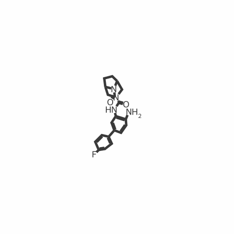 Nc1ccc(-c2ccc(F)cc2)cc1NC(=O)N1CC2CCC(C1)N2C=O